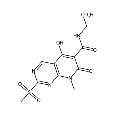 Cn1c(=O)c(C(=O)NCC(=O)O)c(O)c2cnc(S(C)(=O)=O)nc21